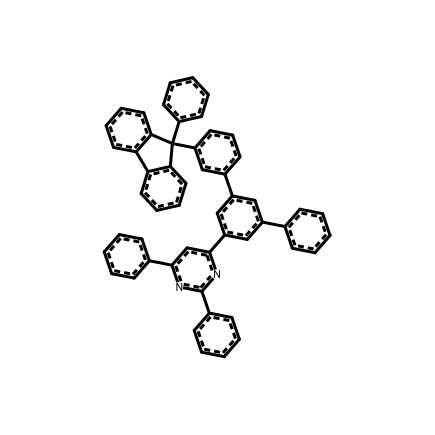 c1ccc(-c2cc(-c3cccc(C4(c5ccccc5)c5ccccc5-c5ccccc54)c3)cc(-c3cc(-c4ccccc4)nc(-c4ccccc4)n3)c2)cc1